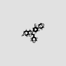 CN1CCC(CN(C(=O)CC2CCOCC2)c2ccc(N3CCOCC3)c(F)c2)CC1